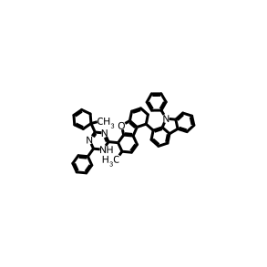 CC1C=Cc2c(oc3c2C(c2cccc4c5ccccc5n(-c5ccccc5)c24)CC=C3)C1C1=NC(C2(C)C=CC=CC2)=NC(c2ccccc2)N1